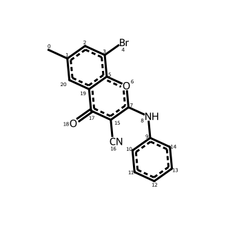 Cc1cc(Br)c2oc(Nc3ccccc3)c(C#N)c(=O)c2c1